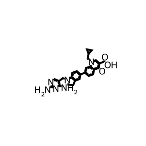 Nc1ncc(CN2CCc3cc(-c4ccc5c(=O)c(C(=O)O)cn(CC6CC6)c5c4)ccc32)c(N)n1